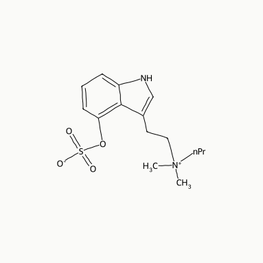 CCC[N+](C)(C)CCc1c[nH]c2cccc(OS(=O)(=O)[O-])c12